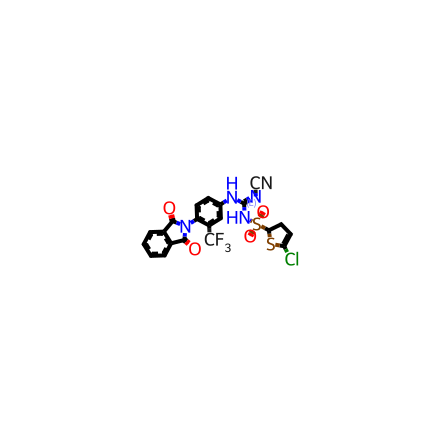 N#C/N=C(\Nc1ccc(N2C(=O)c3ccccc3C2=O)c(C(F)(F)F)c1)NS(=O)(=O)C1CC=C(Cl)S1